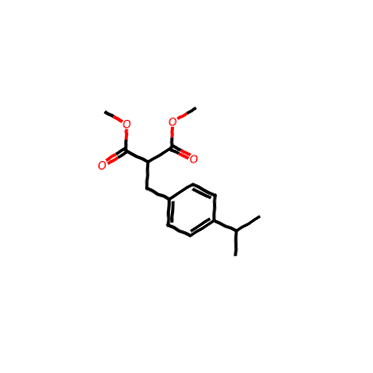 COC(=O)C(Cc1ccc(C(C)C)cc1)C(=O)OC